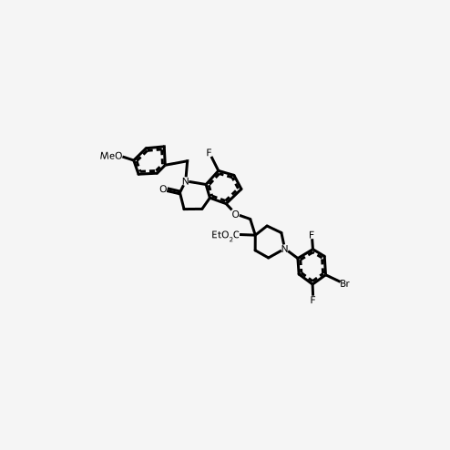 CCOC(=O)C1(COc2ccc(F)c3c2CCC(=O)N3Cc2ccc(OC)cc2)CCN(c2cc(F)c(Br)cc2F)CC1